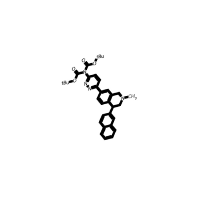 CN1Cc2cc(-c3ccc(N(C(=O)OC(C)(C)C)C(=O)OC(C)(C)C)nn3)ccc2C(c2ccc3ccccc3c2)C1